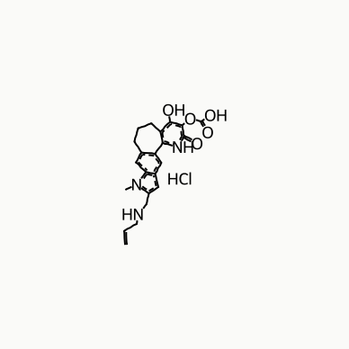 C=CCNCc1cc2cc3c(cc2n1C)CCCc1c-3[nH]c(=O)c(OC(=O)O)c1O.Cl